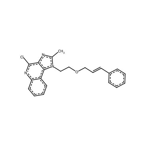 Cc1nc2c(Cl)nc3ccccc3c2n1CCOCC=Cc1ccccc1